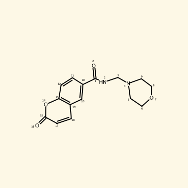 O=C(NCN1CCOCC1)c1ccc2oc(=O)ccc2c1